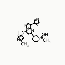 CB(O)N1CCCC(c2cc(Nc3cc(C)ns3)n3ncc(-c4cncs4)c3n2)C1